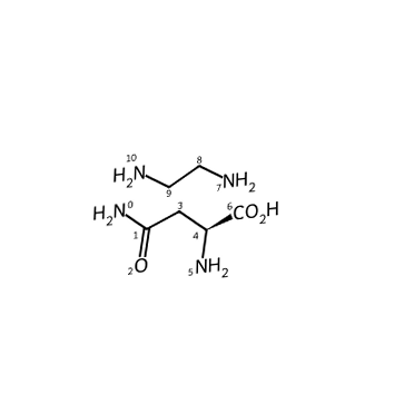 NC(=O)C[C@H](N)C(=O)O.NCCN